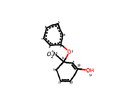 O=[N+]([O-])C1(Oc2ccccc2)C=C(O)C=CC1